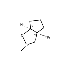 CB1O[C@H]2CCC[C@@]2(C(C)C)O1